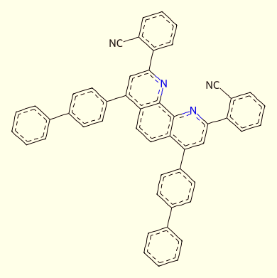 N#Cc1ccccc1-c1cc(-c2ccc(-c3ccccc3)cc2)c2ccc3c(-c4ccc(-c5ccccc5)cc4)cc(-c4ccccc4C#N)nc3c2n1